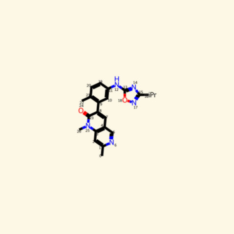 Cc1cc2c(cn1)cc(-c1cc(Nc3nc(C(C)C)no3)ccc1C)c(=O)n2C